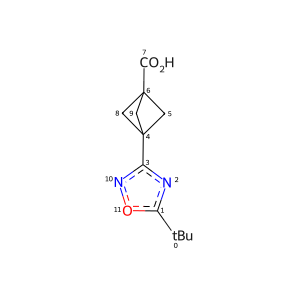 CC(C)(C)c1nc(C23CC(C(=O)O)(C2)C3)no1